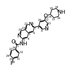 O=C(Nc1cc2cc(-c3cncc(OC4CCNCC4)c3)ncc2cn1)c1ccc(F)cc1